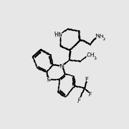 CCC(C1CNCCC1CN)N1c2ccccc2Sc2ccc(C(F)(F)F)cc21